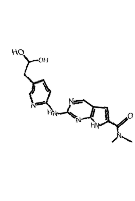 CN(C)C(=O)c1cc2cnc(Nc3ccc(CC(O)O)cn3)nc2[nH]1